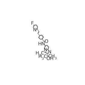 Cc1c(C(C)(C)O)nc2ccc(NC(=O)c3ccc(/C=C/c4ccc(F)cn4)cc3)cn12